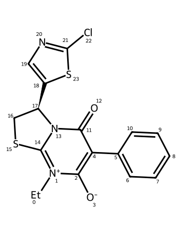 CC[n+]1c([O-])c(-c2ccccc2)c(=O)n2c1SC[C@H]2c1cnc(Cl)s1